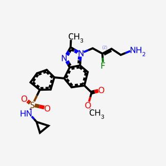 COC(=O)c1cc(-c2cccc(S(=O)(=O)NC3CC3)c2)c2nc(C)n(C/C(F)=C/CN)c2c1